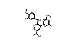 COc1ncc(Nc2ncc(C(C)N)cc2-c2nc(C)nc(N)n2)cc1F